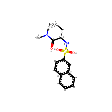 CCCCN(CCCC)C(=O)[C@H](CC(=O)O)NS(=O)(=O)c1ccc2ccccc2c1